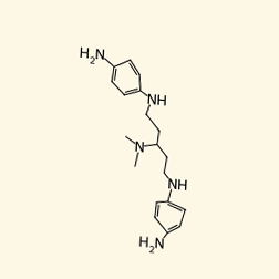 CN(C)C(CCNc1ccc(N)cc1)CCNc1ccc(N)cc1